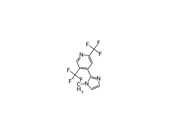 Cn1ccnc1-c1cc(C(F)(F)F)ncc1C(F)(F)F